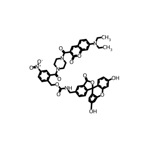 CCN(CC)c1ccc2cc(C(=O)N3CCN(C(=O)c4cc([N+](=O)[O-])ccc4COC(=O)NCc4ccc5c(c4)C(=O)OC54c5ccc(O)cc5Oc5cc(O)ccc54)CC3)c(=O)oc2c1